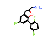 NCC1Cc2cc(F)cc(-c3cc(F)ccc3F)c2O1